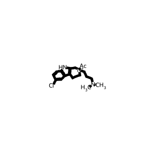 CC(=O)[N+]1(CCCN(C)C)CCc2c([nH]c3ccc(Cl)cc23)C1